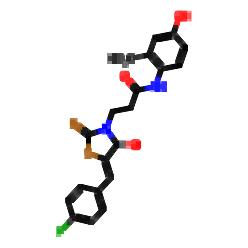 O=C(CCN1C(=O)/C(=C/c2ccc(F)cc2)SC1=S)Nc1ccc(O)cc1C(=O)O